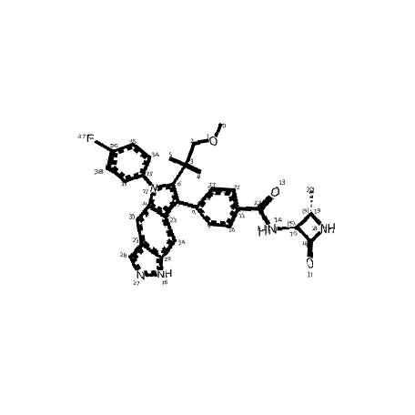 COCC(C)(C)c1c(-c2ccc(C(=O)N[C@@H]3C(=O)N[C@H]3C)cc2)c2cc3[nH]ncc3cc2n1-c1ccc(F)cc1